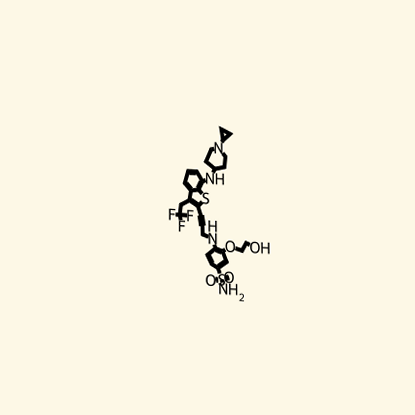 NS(=O)(=O)c1ccc(NCC#Cc2sc3c(NC4CCN(C5CC5)CC4)cccc3c2CC(F)(F)F)c(OCCO)c1